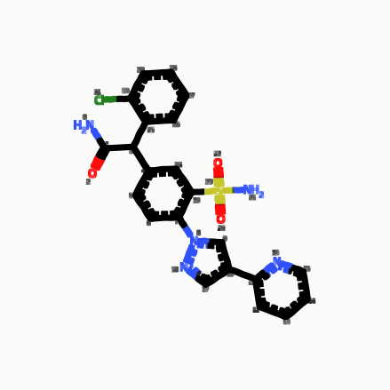 NC(=O)C(c1ccc(-n2cc(-c3ccccn3)cn2)c(S(N)(=O)=O)c1)c1ccccc1Cl